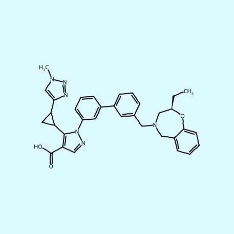 CC[C@@H]1CN(Cc2cccc(-c3cccc(-n4ncc(C(=O)O)c4C4CC4c4cn(C)nn4)c3)c2)Cc2ccccc2O1